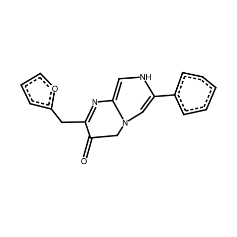 O=C1CN2C=C(c3ccccc3)NC=C2N=C1Cc1ccco1